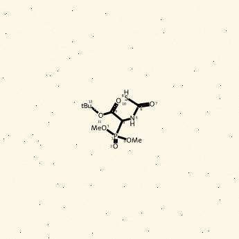 COP(=O)(OC)C(NC(=O)S)C(=O)OC(C)(C)C